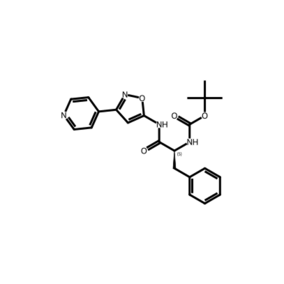 CC(C)(C)OC(=O)N[C@@H](Cc1ccccc1)C(=O)Nc1cc(-c2ccncc2)no1